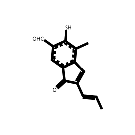 C/C=C/C1=Cc2c(cc(C=O)c(S)c2C)C1=O